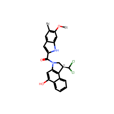 CCOc1cc2[nH]c(C(=O)N3C[C@@H](C(Cl)Cl)c4c3cc(O)c3ccccc43)cc2cc1C(C)=O